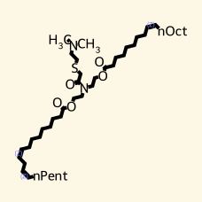 CCCCC/C=C\C/C=C\CCCCCCCC(=O)OCCN(CCOC(=O)CCCCCCC/C=C\CCCCCCCC)C(=O)CSCCN(C)C